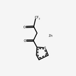 O=C(CC(=O)C(F)(F)F)c1cccs1.[Zn]